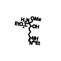 CCOC(=O)C(N)(COC)C(O)CCCc1cnc(CC)[nH]1